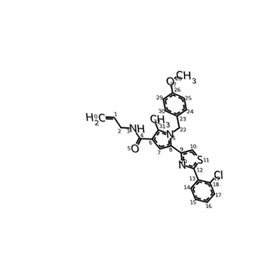 C=CCNC(=O)c1cc(-c2csc(-c3ccccc3Cl)n2)n(Cc2ccc(OC)cc2)c1C